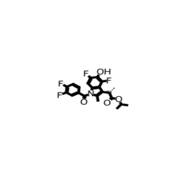 Cc1c([C@H](C)C(=O)OC(C)C)c2c(F)c(O)c(F)cc2n1C(=O)c1ccc(F)c(F)c1